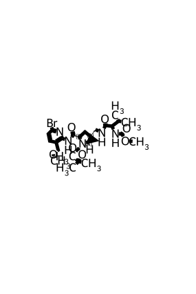 COCc1ccc(Br)nc1NC(=O)[C@@H]1C[C@@]2(CNC(=O)C(NC(=O)OC)C(C)C)C[C@H]2N1C(=O)OC(C)(C)C